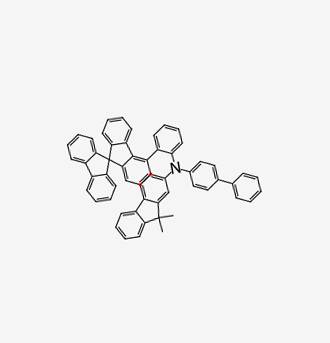 CC1(C)c2ccccc2-c2ccc(N(c3ccc(-c4ccccc4)cc3)c3ccccc3-c3cccc4c3-c3ccccc3C43c4ccccc4-c4ccccc43)cc21